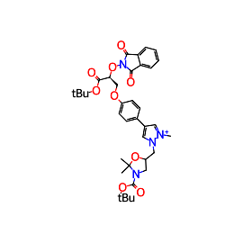 C[n+]1cc(-c2ccc(OC[C@H](ON3C(=O)c4ccccc4C3=O)C(=O)OC(C)(C)C)cc2)cn1CC1CN(C(=O)OC(C)(C)C)C(C)(C)O1